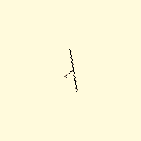 CCCCCCCCCCC(CCC[O])CCCCCCCCCC